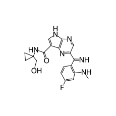 CNc1cc(F)ccc1C(=N)c1cnc2[nH]cc(C(=O)NC3(CO)CC3)c2n1